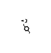 CC[C@H]1OC(=O)N(Cc2ccc(CF)cc2)[C@@H]1C